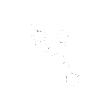 O=C(Cc1ccccc1)Nc1onc(-c2ccc(F)cc2Cl)c1-c1ccncn1